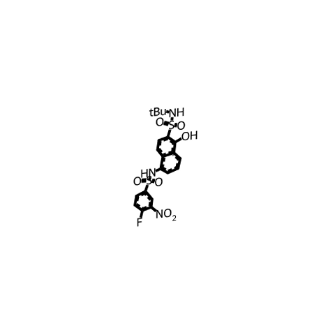 CC(C)(C)NS(=O)(=O)c1ccc2c(NS(=O)(=O)c3ccc(F)c([N+](=O)[O-])c3)cccc2c1O